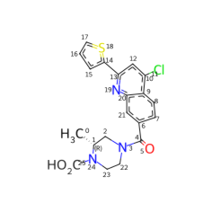 C[C@@H]1CN(C(=O)c2ccc3c(Cl)cc(-c4cccs4)nc3c2)CCN1C(=O)O